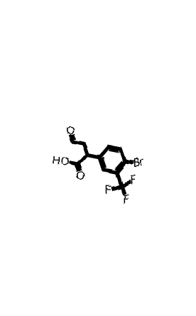 O=CCC(C(=O)O)c1ccc(Br)c(C(F)(F)F)c1